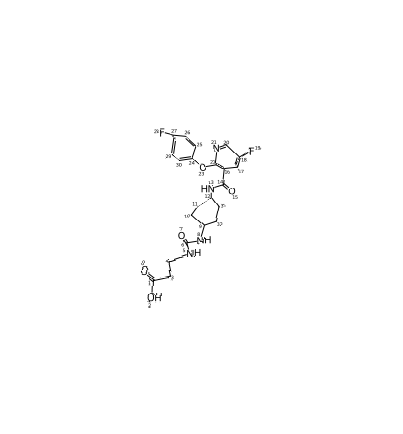 O=C(O)CCNC(=O)NC1CCC(NC(=O)c2cc(F)cnc2Oc2ccc(F)cc2)CC1